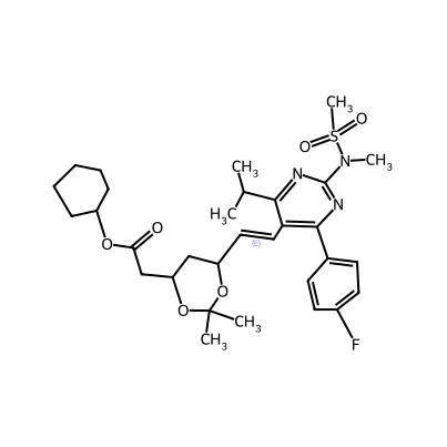 CC(C)c1nc(N(C)S(C)(=O)=O)nc(-c2ccc(F)cc2)c1/C=C/C1CC(CC(=O)OC2CCCCC2)OC(C)(C)O1